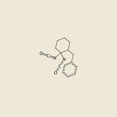 O=C=NC1(N=C=O)CCCCC1Cc1ccccc1